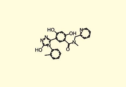 Cc1ccccc1-n1c(O)nnc1-c1cc(C(=O)N(C)Cc2ccccn2)c(O)cc1O